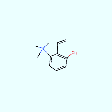 C=Cc1c(O)cccc1[N+](C)(C)C